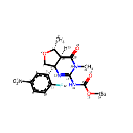 C[C@H]1OC[C@]2(c3cc([N+](=O)[O-])ccc3F)N=C(NC(=O)OC(C)(C)C)N(C)C(=O)[C@H]12